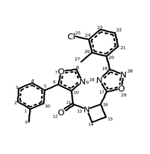 Cc1cccc(-c2ocnc2C(=O)N2CCC2c2nc(-c3cccc(Cl)c3C)no2)c1